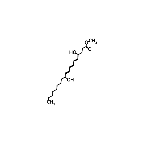 CCCCCCCCC(O)C=CC=CC=CC(O)CCC(=O)OC